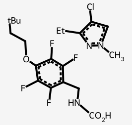 CC(C)(C)CCOc1c(F)c(F)c(CNC(=O)O)c(F)c1F.CCc1nn(C)cc1Cl